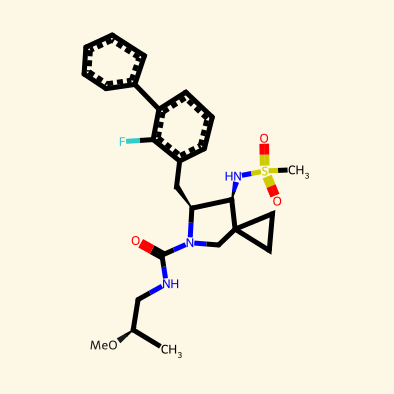 CO[C@H](C)CNC(=O)N1CC2(CC2)[C@H](NS(C)(=O)=O)[C@@H]1Cc1cccc(-c2ccccc2)c1F